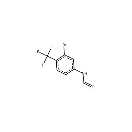 O=CNc1ccc(C(F)(F)F)c(Br)c1